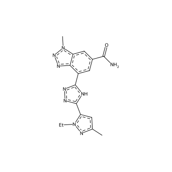 CCn1nc(C)cc1-c1nnc(-c2cc(C(N)=O)cc3c2nnn3C)[nH]1